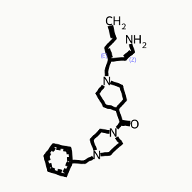 C=C/C=C(\C=C/N)CN1CCC(C(=O)N2CCN(Cc3ccccc3)CC2)CC1